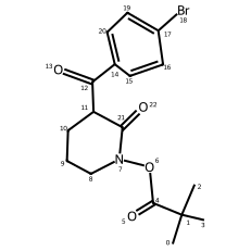 CC(C)(C)C(=O)ON1CCCC(C(=O)c2ccc(Br)cc2)C1=O